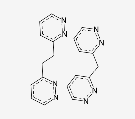 c1cnnc(CCc2cccnn2)c1.c1cnnc(Cc2cccnn2)c1